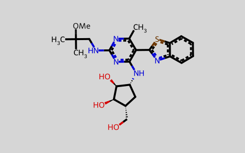 COC(C)(C)CNc1nc(C)c(-c2nc3ccccc3s2)c(N[C@@H]2C[C@H](CO)[C@@H](O)[C@H]2O)n1